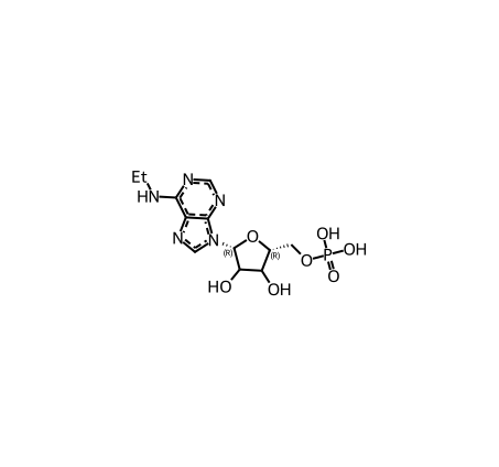 CCNc1ncnc2c1ncn2[C@@H]1O[C@H](COP(=O)(O)O)C(O)C1O